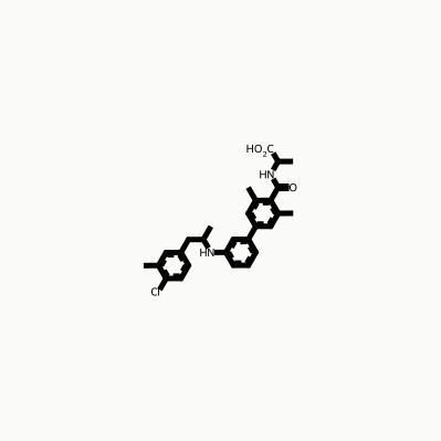 Cc1cc(CC(C)Nc2cccc(-c3cc(C)c(C(=O)NC(C)C(=O)O)c(C)c3)c2)ccc1Cl